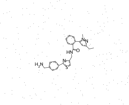 CCc1cc(-c2ccccc2C(=O)NCc2csc(-c3ccc(CN)cc3)n2)n(C)n1